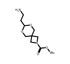 CC(C)(C)OC(=O)N1CC2(COC(CCN)OC2)C1